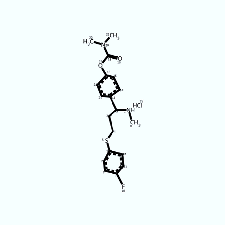 CNC(CCSc1ccc(F)cc1)c1ccc(OC(=O)N(C)C)cc1.Cl